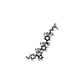 CCN1CCN(c2nc(Nc3cccc(NC(=O)c4ccc(NC(=O)/C=C/CN(C)C)cc4)c3)nc3ccsc23)CC1